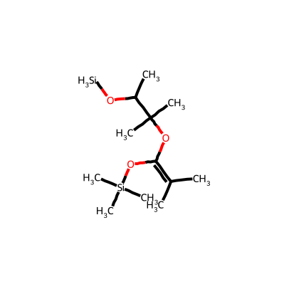 CC(C)=C(OC(C)(C)C(C)O[SiH3])O[Si](C)(C)C